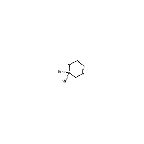 BrC1(Br)[CH]CCCC1